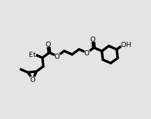 CCC(CC1OC1C)C(=O)OCCCOC(=O)C1CCCC(O)C1